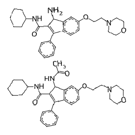 CC(=O)NC1C(C(=O)NC2CCCCC2)=C(c2ccccc2)c2ccc(OCCN3CCOCC3)cc21.NC1C(C(=O)NC2CCCCC2)=C(c2ccccc2)c2ccc(OCCN3CCOCC3)cc21